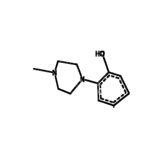 CN1CCN(c2c[c]ccc2O)CC1